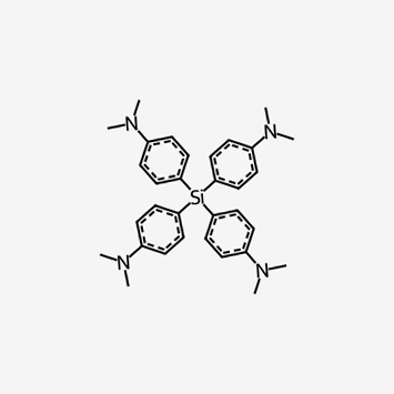 CN(C)c1ccc([Si](c2ccc(N(C)C)cc2)(c2ccc(N(C)C)cc2)c2ccc(N(C)C)cc2)cc1